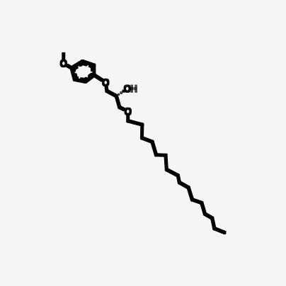 CCCCCCCCCCCCCCCCOC[C@@H](O)COc1ccc(OC)cc1